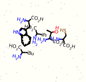 CC(C)C(N)C(=O)O.CC(O)C(N)C(=O)O.CCC(C)C(N)C(=O)O.NC(CS)C(=O)O.NC(Cc1c[nH]c2ccccc12)C(=O)O